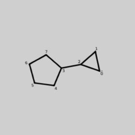 [CH]1CC1C1CCCC1